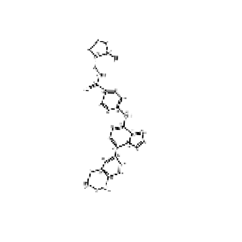 CCN1CCC[C@H]1CNC(=O)c1ccc(Nc2ccc(-c3ccc4c(c3)CNCO4)n3ccnc23)cc1